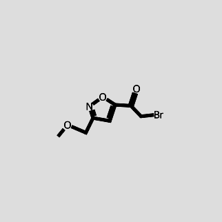 COCc1cc(C(=O)CBr)on1